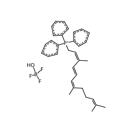 CC(C)=CCCC(C)=CC=CC(C)=CC[P+](c1ccccc1)(c1ccccc1)c1ccccc1.O[B-](F)(F)F